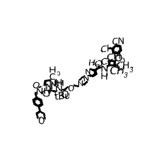 C[C@@H]1C[C@@H](C(=O)NCc2ccc(C3CCOCC3)cc2)N(C(=O)[C@@H](NC(=O)COCCN2CCN(c3ccc(C(=O)N[C@H]4C(C)(C)[C@H](Oc5ccc(C#N)c(Cl)c5)C4(C)C)cn3)CC2)C(C)(C)C)N1